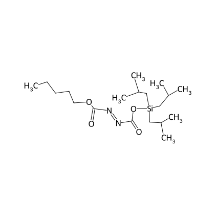 CCCCCOC(=O)/N=N/C(=O)O[Si](CC(C)C)(CC(C)C)CC(C)C